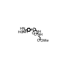 COC(=O)CCNC(=O)N[C@H]1CCN(c2ccc(C(=N)NO)cc2)C1=O